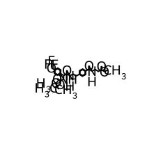 COC(=O)CCNC(=O)c1ccc(CCNC(=O)C(NC(=O)OC(C)(C)C)c2ccc(OC(F)(F)F)cc2)cc1